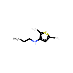 O=C(O)CCNc1cc([N+](=O)[O-])sc1C(=O)O